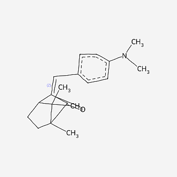 CN(C)c1ccc(/C=C2\C(=O)C3(C)CCC2C3(C)C)cc1